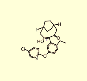 CCc1ccc(Oc2ccc(Cl)cn2)cc1/C1=C(\O)C[C@H]2CC[C@H](CC2)CC1=O